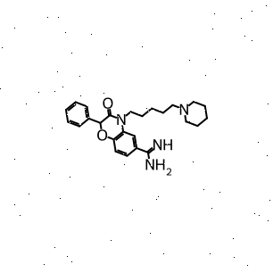 N=C(N)c1ccc2c(c1)N(CCCCCN1CCCCC1)C(=O)C(c1ccccc1)O2